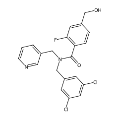 O=C(c1ccc(CO)cc1F)N(Cc1cccnc1)Cc1cc(Cl)cc(Cl)c1